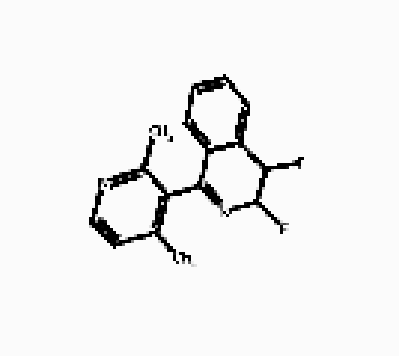 Cc1ccnc(C)c1C1=NC(F)C(F)c2ccccc21